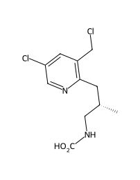 C[C@H](CNC(=O)O)Cc1ncc(Cl)cc1CCl